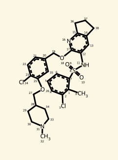 Cc1c(Cl)cccc1S(=O)(=O)Nc1cc2c(nc1OCc1ccc(Cl)c(OCC3CCN(C)CC3)c1)CCC2